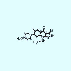 CNn1c2cc(N3CCN(C)CC3)c(F)cc2c(=O)c2c(=O)[nH]sc21